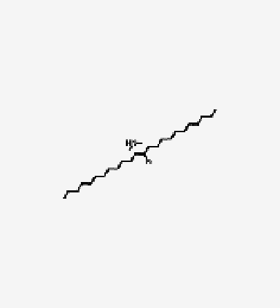 CCCCCCCCCCCCC(Br)CCCCCCCCCCC.CNC